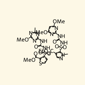 CCOC(=O)c1cnn(C)c1S(=O)(=O)NC(=O)Nc1nc(OC)cc(OC)n1.COC(=O)c1sccc1S(=O)(=O)NC(=O)Nc1nc(C)nc(OC)n1